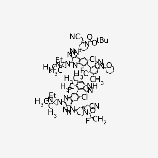 C=C(F)C(=O)N1CC[C@H](n2nnc3c(N4CC(C)(N(C)CC)C4)nc4c(F)c(-c5c(C)c(C)cc6[nH]ncc56)c(Cl)cc4c32)C[C@H]1CC#N.CCN(C)C1(C)CN(c2nc3c(F)c(-c4c(C)c(C)cc5c4cnn5C4CCCCO4)c(Cl)cc3c3c2nnn3[C@H]2CCN(C(=O)OC(C)(C)C)[C@H](CC#N)C2)C1